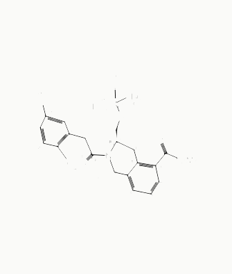 COC(=O)c1cccc2c1C[C@H](CO[Si](C)(C)C(C)(C)C)N(C(=O)Cc1cc(F)ccc1Cl)[C@H]2C